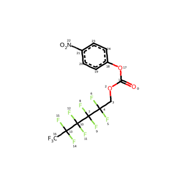 O=C(OCC(F)(F)C(F)(F)C(F)(F)C(F)(F)C(F)(F)F)Oc1ccc([N+](=O)[O-])cc1